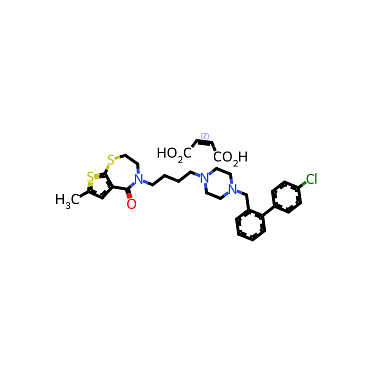 Cc1cc2c(s1)SCCN(CCCCN1CCN(Cc3ccccc3-c3ccc(Cl)cc3)CC1)C2=O.O=C(O)/C=C\C(=O)O